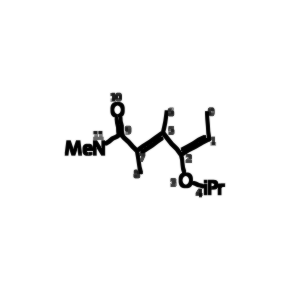 C/C=C(OC(C)C)\C(C)=C(/C)C(=O)NC